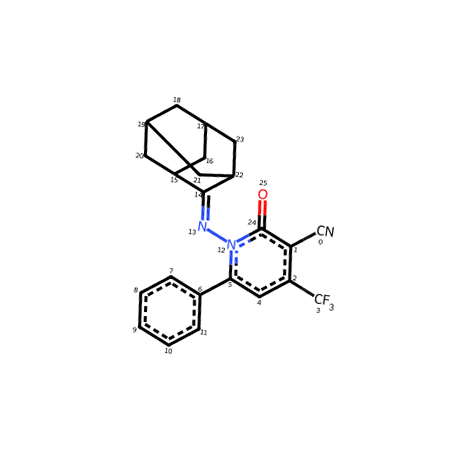 N#Cc1c(C(F)(F)F)cc(-c2ccccc2)n(N=C2C3CC4CC(C3)CC2C4)c1=O